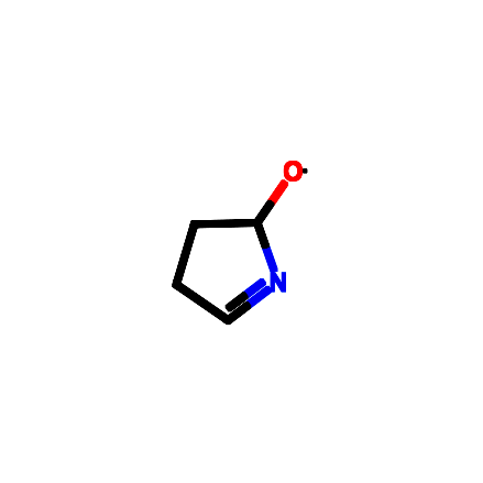 [O]C1CCC=N1